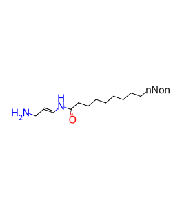 CCCCCCCCCCCCCCCCCC(=O)NC=CCN